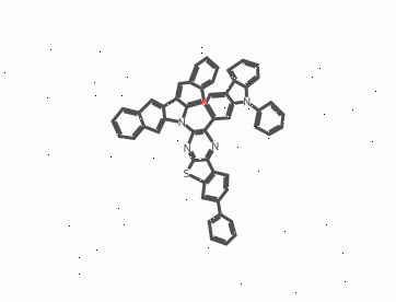 c1ccc(-c2ccc3c(c2)sc2nc(-n4c5cc6ccccc6cc5c5cc6ccccc6cc54)c(-c4ccc5c6ccccc6n(-c6ccccc6)c5c4)nc23)cc1